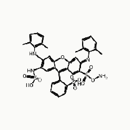 Cc1cccc(C)c1/N=c1\cc2oc3cc(Nc4c(C)cccc4C)c(NS(=O)(=O)O)cc3c(-c3ccccc3S(=O)(=O)O)c-2cc1S(=O)(=O)ON